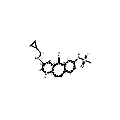 CS(=O)(=O)Nc1ccc2ccc3ncc(NCC4CC4)cc3c(=O)c2c1